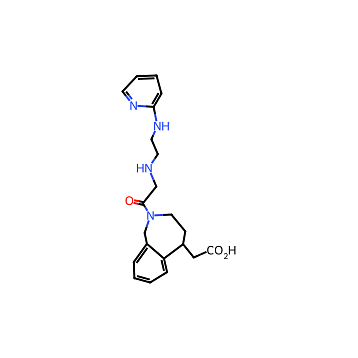 O=C(O)CC1CCN(C(=O)CNCCNc2ccccn2)Cc2ccccc21